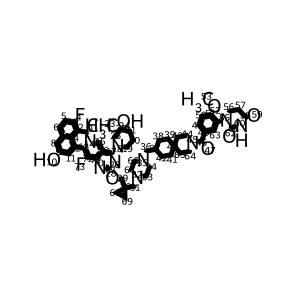 CCc1c(F)ccc2cc(O)cc(-c3ncc4c(N5CCC[C@@](C)(O)C5)nc(OCC5(CN6CCN(CC7CCC8(CC7)CCN(C(=O)c7ccc(OC)c(N9CCC(=O)NC9=O)c7)CC8)CC6)CC5)nc4c3F)c12